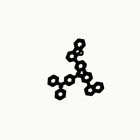 c1ccc(N(c2ccccc2)c2ccc(-n3c4cc(-c5cccc6ccccc56)ccc4c4ccc(-c5cccc6c5oc5ccccc56)cc43)cc2)cc1